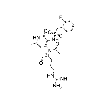 CC(=O)N(c1cc(C)[nH]c(=O)c1NS(=O)(=O)Cc1ccccc1F)[C@H](C=O)CCCNC(=N)N